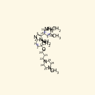 C=C(/C=C\c1ncc(C(/C=C(/C)C(=C)F)=C/N)n1N)OCCCN1CCN(C)CC1